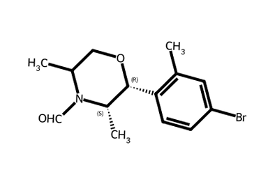 Cc1cc(Br)ccc1[C@H]1OCC(C)N(C=O)[C@H]1C